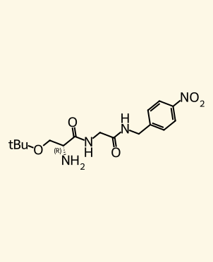 CC(C)(C)OC[C@@H](N)C(=O)NCC(=O)NCc1ccc([N+](=O)[O-])cc1